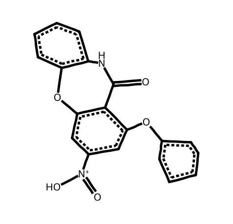 O=C1Nc2ccccc2Oc2cc([N+](=O)O)cc(Oc3ccccc3)c21